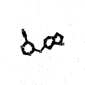 N#Cc1cc(Oc2ccc3cc[nH]c3c2)ncn1